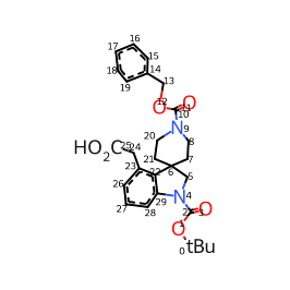 CC(C)(C)OC(=O)N1CC2(CCN(C(=O)OCc3ccccc3)CC2)c2c(CC(=O)O)cccc21